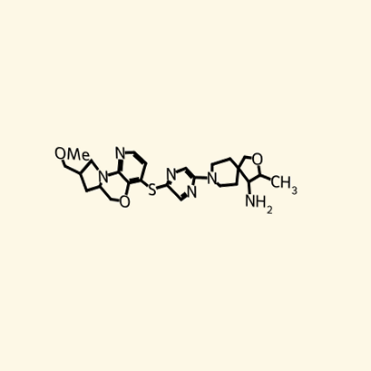 COCC1CC2COc3c(Sc4cnc(N5CCC6(CC5)COC(C)C6N)cn4)ccnc3N2C1